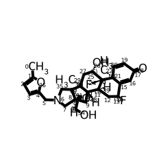 Cc1ccc(CN2C[C@@H]3C[C@H]4[C@@H]5C[C@H](F)C6=CC(=O)C=C[C@]6(C)[C@@]5(F)[C@@H](O)C[C@]4(C)[C@]3(C(=O)CO)C2)o1